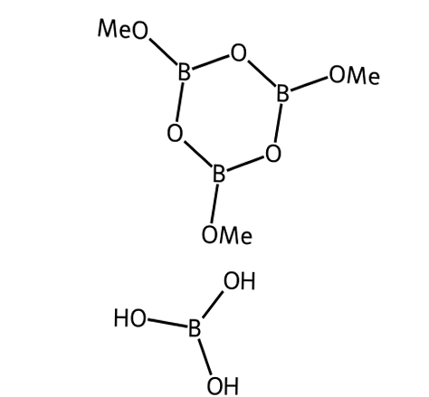 COB1OB(OC)OB(OC)O1.OB(O)O